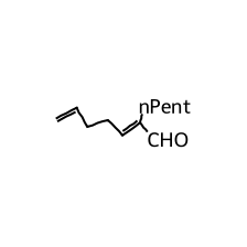 C=CCCC=C(C=O)CCCCC